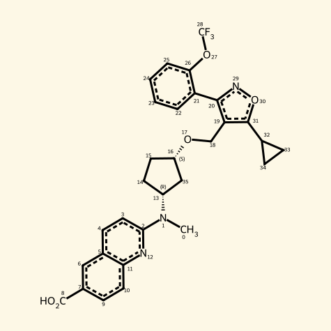 CN(c1ccc2cc(C(=O)O)ccc2n1)[C@@H]1CC[C@H](OCc2c(-c3ccccc3OC(F)(F)F)noc2C2CC2)C1